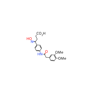 COc1ccc(CC(=O)Nc2ccc(C(CCC(=O)O)=NO)cc2)cc1OC